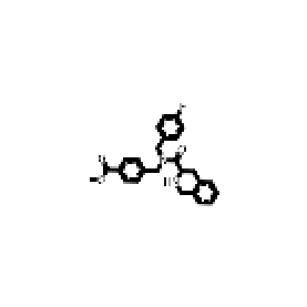 COC(=O)c1ccc(CN(Cc2ccc(F)cc2)C(=O)C2Cc3ccccc3CN2)cc1